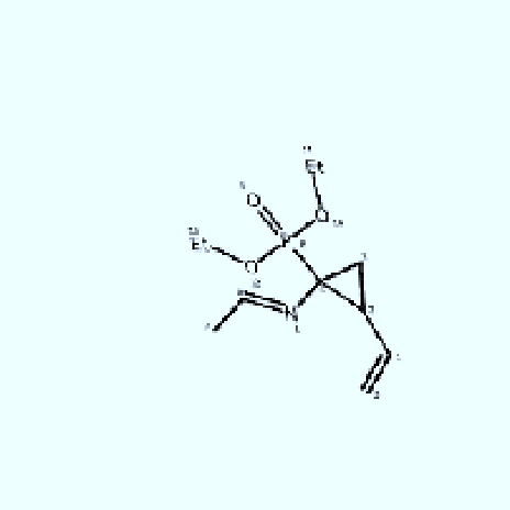 C=CC1CC1(/N=C/C)P(=O)(OCC)OCC